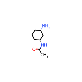 CC(=O)N[C@@H]1CCC[C@H](N)C1